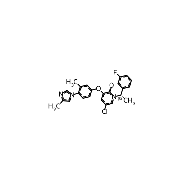 Cc1cn(-c2ccc(Oc3cc(Cl)cn([C@@H](C)c4cccc(F)c4)c3=O)cc2C)cn1